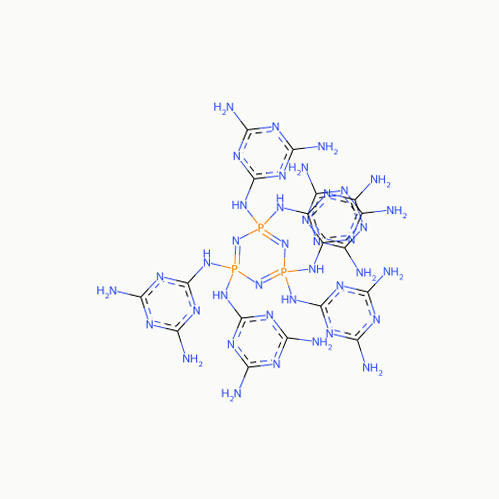 Nc1nc(N)nc(NP2(Nc3nc(N)nc(N)n3)=NP(Nc3nc(N)nc(N)n3)(Nc3nc(N)nc(N)n3)=NP(Nc3nc(N)nc(N)n3)(Nc3nc(N)nc(N)n3)=N2)n1